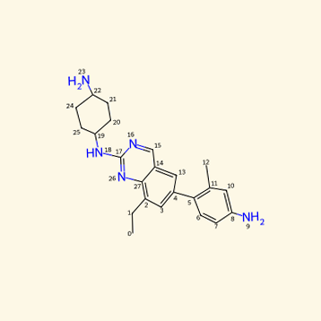 CCc1cc(-c2ccc(N)cc2C)cc2cnc(NC3CCC(N)CC3)nc12